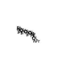 CCCC1CC=C(C(F)(F)Oc2ccc(-c3ccc(-c4ccc(OCC)c(F)c4F)cc3)c(F)c2)CC1